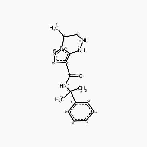 CC1CNNc2c(C(=O)NC(C)(C)c3ccccc3)cnn21